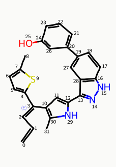 C=C/C=C(/c1ccc(C)s1)c1cc(-c2n[nH]c3ccc(-c4cccc(O)c4)cc23)[nH]c1C